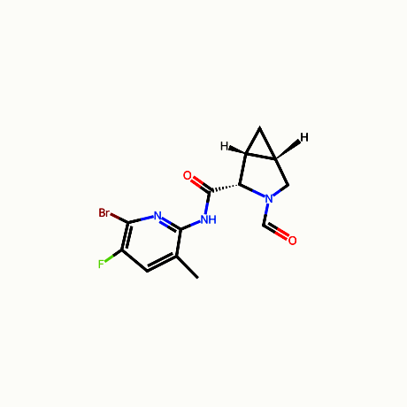 Cc1cc(F)c(Br)nc1NC(=O)[C@@H]1[C@@H]2C[C@@H]2CN1C=O